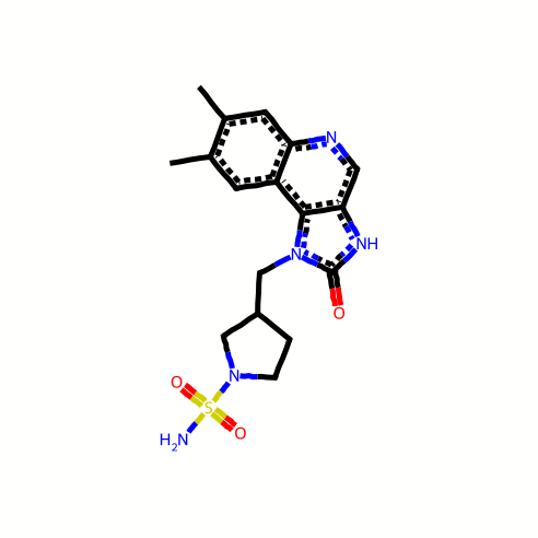 Cc1cc2ncc3[nH]c(=O)n(CC4CCN(S(N)(=O)=O)C4)c3c2cc1C